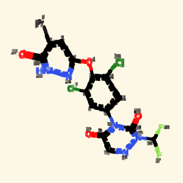 CC(C)c1cc(Oc2c(Cl)cc(-n3c(=O)cnn(C(F)F)c3=O)cc2Cl)n[nH]c1=O